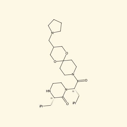 CC(C)C[C@@H]1NCCN([C@@H](CC(C)C)C(=O)N2CCC3(CC2)OCC(CN2CCCC2)CO3)C1=O